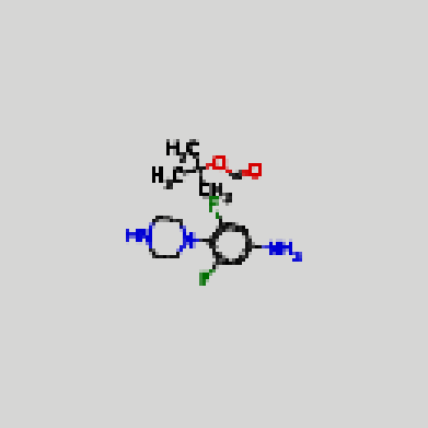 CC(C)(C)OC=O.Nc1cc(F)c(N2CCNCC2)c(F)c1